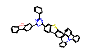 c1ccc(-c2nc(-c3ccc4c(c3)oc3ccccc34)nc(-c3ccc4c(c3)sc3ccc(-c5ccccc5-n5c6ccccc6c6ccccc65)cc34)n2)cc1